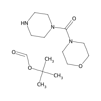 CC(C)(C)OC=O.O=C(N1CCNCC1)N1CCOCC1